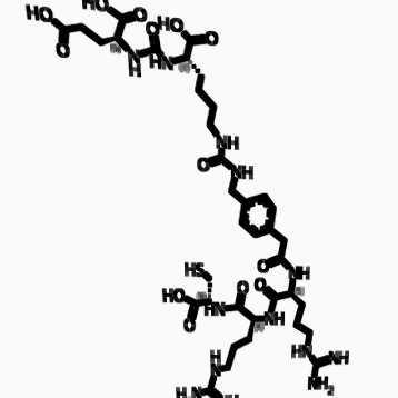 N=C(N)NCCC[C@H](NC(=O)Cc1ccc(CNC(=O)NCCCC[C@H](NC(=O)N[C@@H](CCC(=O)O)C(=O)O)C(=O)O)cc1)C(=O)N[C@@H](CCCNC(=N)N)C(=O)N[C@@H](CS)C(=O)O